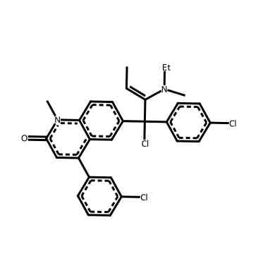 C/C=C(\N(C)CC)C(Cl)(c1ccc(Cl)cc1)c1ccc2c(c1)c(-c1cccc(Cl)c1)cc(=O)n2C